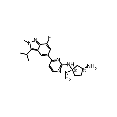 CC(C)c1c2cc(-c3ccnc(N[C@@]4(N)CC[C@H](N)C4)n3)cc(F)c2nn1C